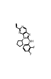 C=Cc1ncc2nc(Nc3cccc(F)c3F)n(C3CCCC3)c2n1